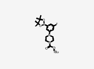 CC(C)(C)OC(=O)N1CCN(c2cc(F)cc(B3OC(C)(C)C(C)(C)O3)c2)CC1